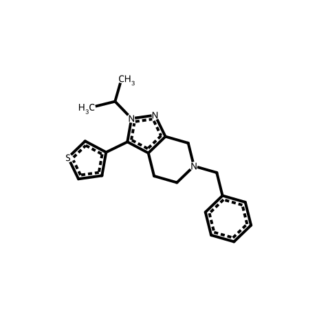 CC(C)n1nc2c(c1-c1ccsc1)CCN(Cc1ccccc1)C2